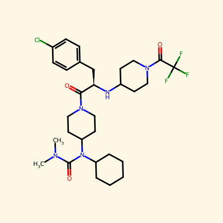 CN(C)C(=O)N(C1CCCCC1)C1CCN(C(=O)[C@@H](Cc2ccc(Cl)cc2)NC2CCN(C(=O)C(F)(F)F)CC2)CC1